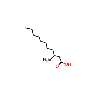 CCCCCCCCC([SiH3])CC(=O)O